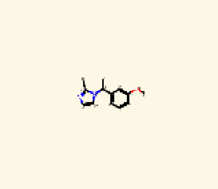 COc1cccc(C(C)n2ccnc2C)c1